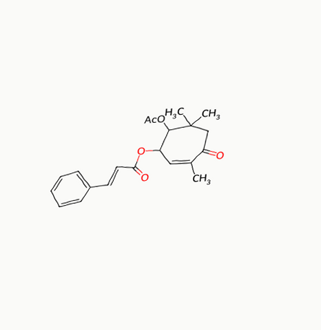 CC(=O)OC1C(OC(=O)C=Cc2ccccc2)C=C(C)C(=O)CC1(C)C